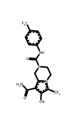 N#Cc1c(C(N)=O)c2n(c1C(F)(F)F)CCN(C(=O)Nc1ccc(C(F)(F)F)cc1)C2